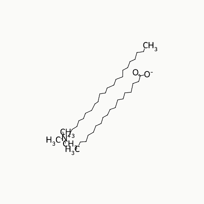 CCCCCCCCCCCCCCCCCC(=O)[O-].CCCCCCCCCCCCCCCCCCCCCC[N+](C)(C)C